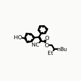 CCCCC(CC)COC(=O)/C(C#N)=C(\c1ccccc1)c1ccc(O)cc1